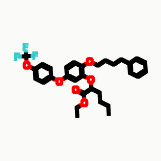 CCCCC(Oc1cc(Oc2ccc(OC(F)(F)F)cc2)ccc1OCCCCc1ccccc1)C(=O)OCC